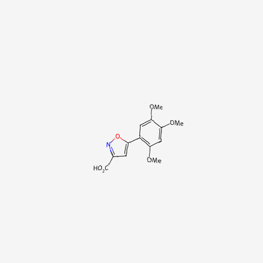 COc1cc(OC)c(-c2cc(C(=O)O)no2)cc1OC